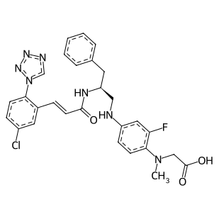 CN(CC(=O)O)c1ccc(NC[C@H](Cc2ccccc2)NC(=O)/C=C/c2cc(Cl)ccc2-n2cnnn2)cc1F